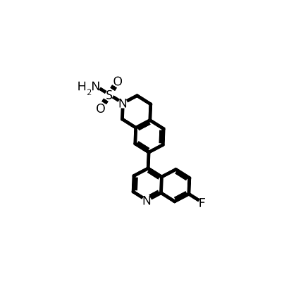 NS(=O)(=O)N1CCc2ccc(-c3ccnc4cc(F)ccc34)cc2C1